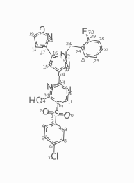 O=S(=O)(c1ccc(Cl)cc1)c1cnc(-c2cc(-c3ccon3)n(Cc3ccccc3F)n2)nc1O